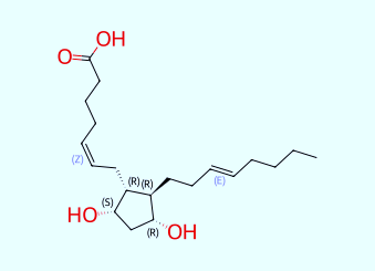 CCCC/C=C/CC[C@@H]1[C@@H](C/C=C\CCCC(=O)O)[C@@H](O)C[C@H]1O